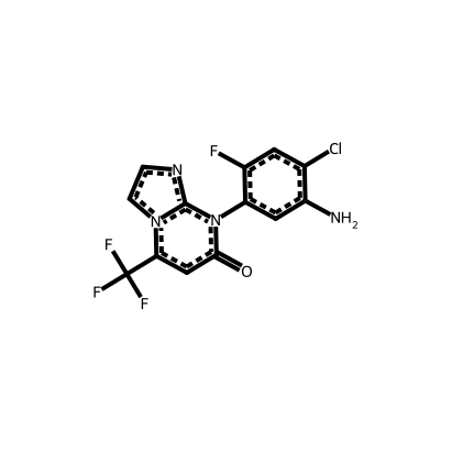 Nc1cc(-n2c(=O)cc(C(F)(F)F)n3ccnc23)c(F)cc1Cl